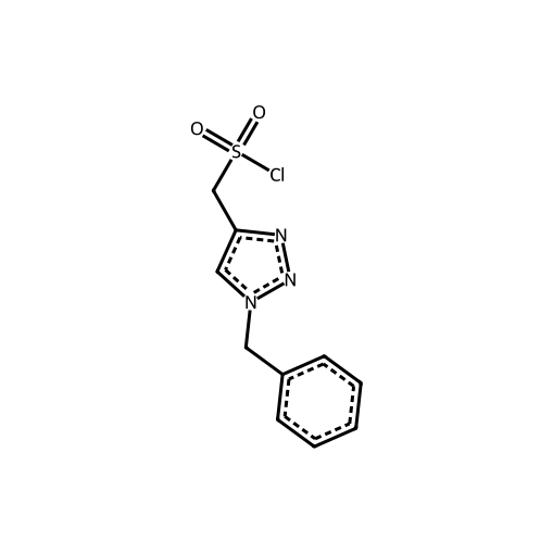 O=S(=O)(Cl)Cc1cn(Cc2ccccc2)nn1